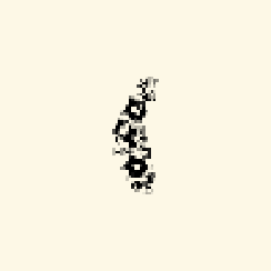 CC(C)OC(=O)N1CCC(N2CCOc3c(Nc4ccc(S(C)(=O)=O)cc4Cl)ncnc32)CC1